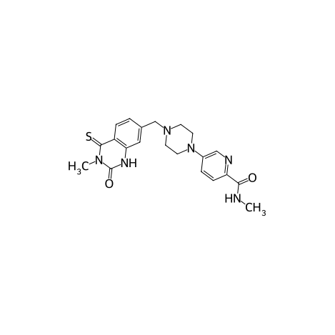 CNC(=O)c1ccc(N2CCN(Cc3ccc4c(=S)n(C)c(=O)[nH]c4c3)CC2)cn1